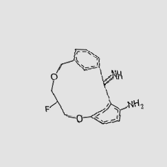 N=C1c2cccc(c2)COCC(F)COc2ccc(N)c1c2